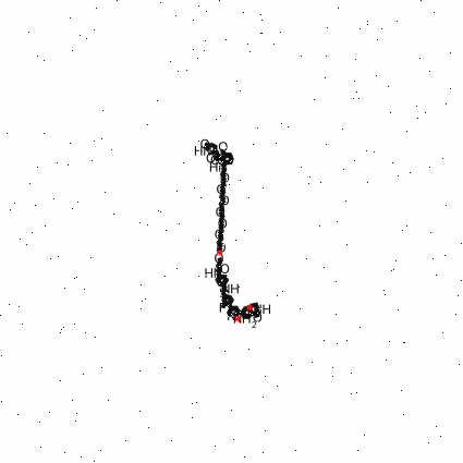 Nc1ncc(-c2ccc(SNc3ccc(NC(=O)CCOCCOCCOCCOCCOCCOCCOCCOCCNc4cccc5c4C(=O)N(C4CCC(=O)NC4=O)C5=O)cc3)cc2F)cc1-c1ccc2c(c1)CCNC2=O